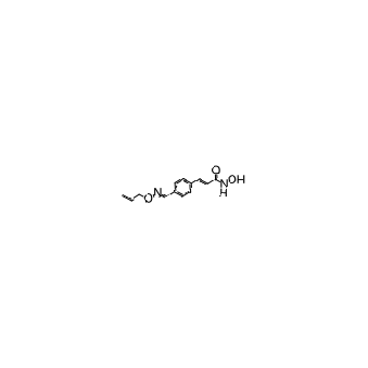 C=CCON=Cc1ccc(C=CC(=O)NO)cc1